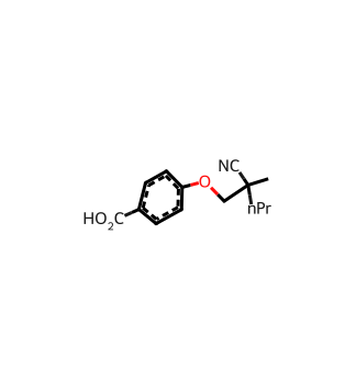 CCCC(C)(C#N)COc1ccc(C(=O)O)cc1